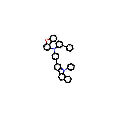 c1ccc(-c2cccc(N(c3ccc(-c4ccc5c6ccc7ccccc7c6n(-c6ccccc6)c5c4)cc3)c3cccc4oc5ccccc5c34)c2)cc1